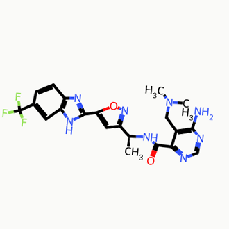 C[C@H](NC(=O)c1ncnc(N)c1CN(C)C)c1cc(-c2nc3ccc(C(F)(F)F)cc3[nH]2)on1